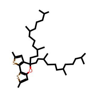 Cc1cc2c(s1)-c1sc(C)cc1C(CCC(C)CCCC(C)CCCC(C)C)(CCC(C)CCCC(C)CCCC(C)C)O2